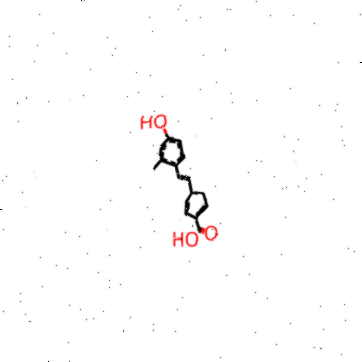 Cc1cc(O)ccc1/C=C/C1C=CC(C(=O)O)=CC1